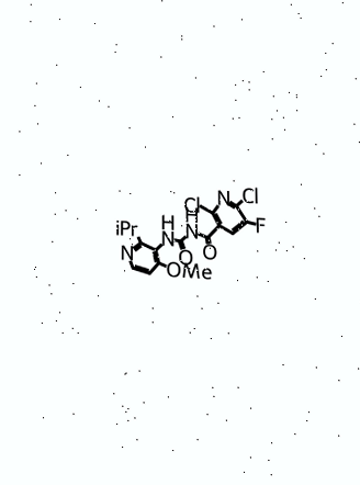 COc1ccnc(C(C)C)c1NC(=O)NC(=O)c1cc(F)c(Cl)nc1Cl